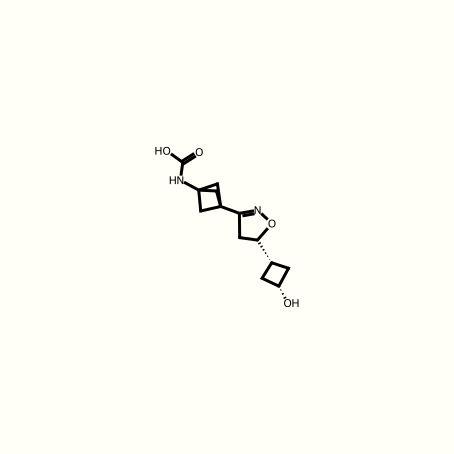 O=C(O)NC12CC(C3=NOC([C@H]4C[C@@H](O)C4)C3)(C1)C2